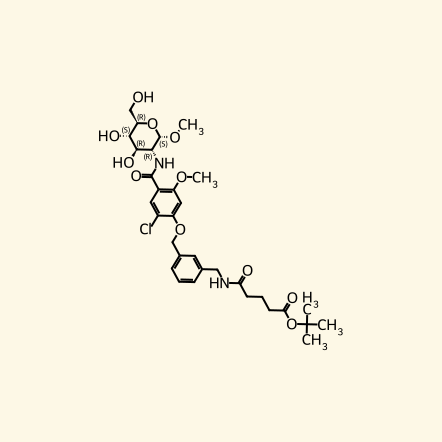 COc1cc(OCc2cccc(CNC(=O)CCCC(=O)OC(C)(C)C)c2)c(Cl)cc1C(=O)N[C@H]1[C@@H](OC)O[C@H](CO)[C@@H](O)[C@@H]1O